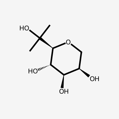 CC(C)(O)[C@H]1OC[C@@H](O)[C@@H](O)[C@@H]1O